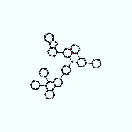 c1ccc(-c2ccc(N(c3ccc(-c4ccc5c(c4)c(-c4ccccc4)c(-c4ccccc4)c4ccccc45)cc3)c3cccc(-c4cccc5c4sc4ccccc45)c3)c(-c3ccccc3)c2)cc1